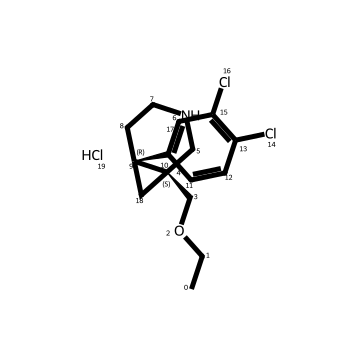 CCOC[C@]12CNCC[C@@]1(c1ccc(Cl)c(Cl)c1)C2.Cl